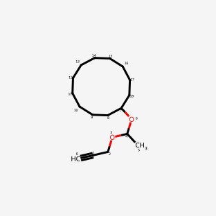 C#CCOC(C)OC1CCCCCCCCCCC1